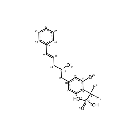 O=P(O)(O)C(F)(F)c1ccc(C[S+]([O-])CC=Cc2ccccc2)cc1Br